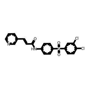 O=C(C=Cc1cccnc1)Nc1ccc(S(=O)(=O)c2ccc(Cl)c(Cl)c2)cc1